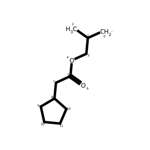 [CH2]C(C)COC(=O)CC1CCCC1